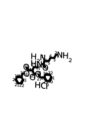 Cl.NCCCC[C@H](N)C(=O)NCCC(C(=O)OCc1ccccc1)C(=O)OCc1ccccc1